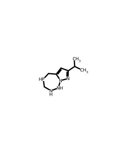 CC(C)c1cc2n(n1)NNCPC2